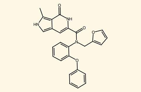 Cc1[nH]cc2cc(C(=O)N(Cc3ccco3)c3ccccc3Oc3ccccc3)[nH]c(=O)c12